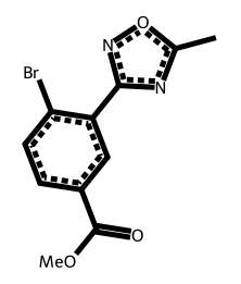 COC(=O)c1ccc(Br)c(-c2noc(C)n2)c1